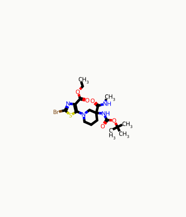 CCOC(=O)c1nc(Br)sc1N1CCCC(NC(=O)OC(C)(C)C)(C(=O)NC)C1